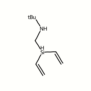 C=C[SiH](C=C)CNC(C)(C)C